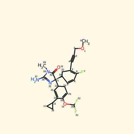 COCC#CC1=C(F)C=CC([C@@]2(C3C=C(C4CC4)C(OC(F)F)=CC3)N=C(N)N(C)C2=O)C1